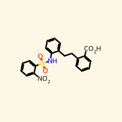 O=C(O)c1ccccc1CCc1ccccc1NS(=O)(=O)c1ccccc1[N+](=O)[O-]